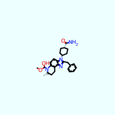 COC(O)N1c2ccc3c(nc(Cc4ccccc4)n3[C@H]3CC[C@@H](C(N)=O)CC3)c2CC[C@@H]1C